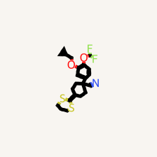 N#CC1(c2ccc(OC(F)F)c(OCC3CC3)c2)CCC(=C2SCCCS2)CC1